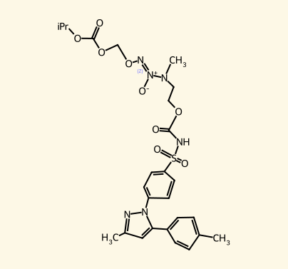 Cc1ccc(-c2cc(C)nn2-c2ccc(S(=O)(=O)NC(=O)OCCN(C)/[N+]([O-])=N/OCOC(=O)OC(C)C)cc2)cc1